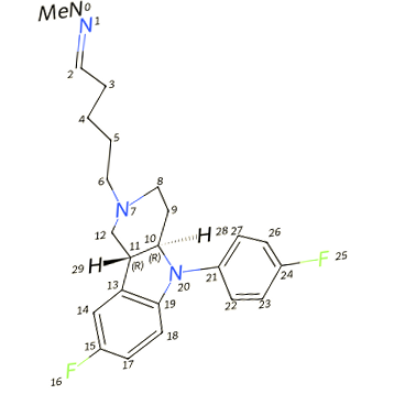 CNN=CCCCCN1CC[C@@H]2[C@@H](C1)c1cc(F)ccc1N2c1ccc(F)cc1